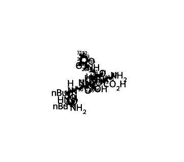 CCCC[C@H](NC(=O)[C@H](CCCC)NNCC[C@H](N)C(=O)N[C@H](C(=O)N[C@@H](CCNC(C)=C1C(=O)CC(C)(C)CC1=O)C(=O)N[C@@H](CCN)C(=O)O)[C@@H](C)O)C(N)=O